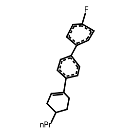 CCCC1CC=C(c2ccc(-c3ccc(F)cc3)cc2)CC1